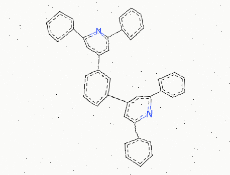 c1ccc(-c2cc(-c3cccc(-c4cc(-c5ccccc5)nc(-c5ccccc5)c4)c3)cc(-c3ccccc3)n2)cc1